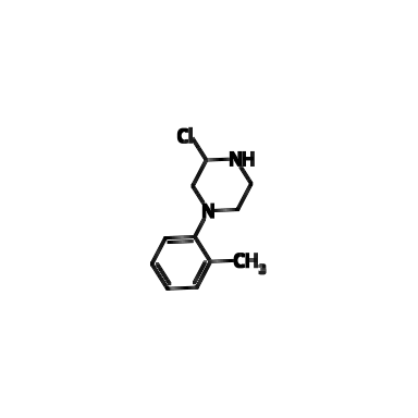 Cc1ccccc1N1CCNC(Cl)C1